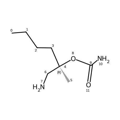 CCCC[C@](C)(CN)OC(N)=O